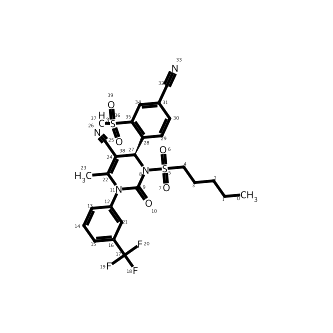 CCCCCS(=O)(=O)N1C(=O)N(c2cccc(C(F)(F)F)c2)C(C)=C(C#N)[C@H]1c1ccc(C#N)cc1S(C)(=O)=O